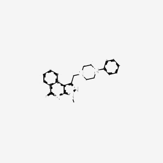 Cn1nc(CN2CCN(c3ccccc3)CC2)c2c3ccccc3c(=O)[nH]c21